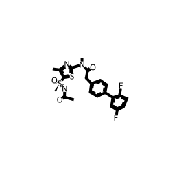 CC(=O)N=[S@](C)(=O)c1sc(N(C)C(=O)Cc2ccc(-c3cc(F)ccc3F)cc2)nc1C